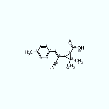 Cc1ccc(C=C(C#N)C2C(C(=O)O)C2(C)C)cc1